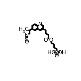 CC(CN=C=O)c1ccc2ncc(CCCC(=O)OCCCCP(=O)(O)O)cc2c1